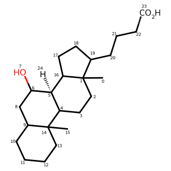 CC12CCC3[C@@H](C(O)CC4CCCCC43C)C1CCC2CCCC(=O)O